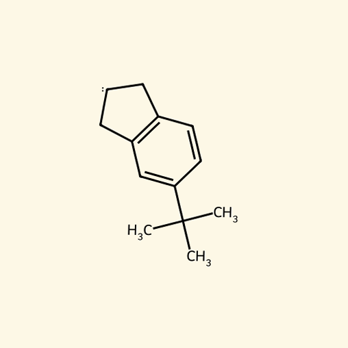 CC(C)(C)c1ccc2c(c1)C[C]C2